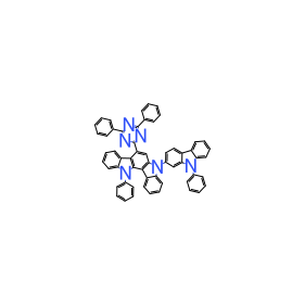 c1ccc(-c2nc(-c3ccccc3)nc(-c3cc4c(c5ccccc5n4-c4ccc5c6ccccc6n(-c6ccccc6)c5c4)c4c3c3ccccc3n4-c3ccccc3)n2)cc1